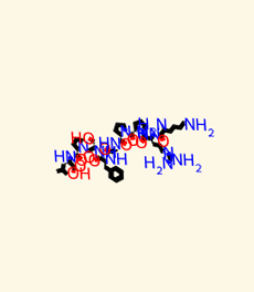 CC(C)C[C@H](NC(=O)[C@@H]1CCCN1C(=O)[C@H](CO)NC(=O)[C@H](Cc1ccccc1)NC(=O)CNC(=O)[C@@H]1CCCN1C(=O)[C@@H]1CCCN1C(=O)[C@H](CCCN=C(N)N)NC(=O)[C@@H](N)CCCCN)C(=O)O